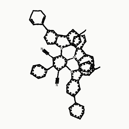 Cc1ccc2c(c1)c1cc(C3=CCCC=C3)ccc1n2-c1c(C#N)c(-c2ccccc2)c(C#N)c(-n2c3ccc(C)cc3c3cc(-c4ccccc4)ccc32)c1-n1c2ccccc2c2ccccc21